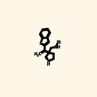 C=C(c1cc2ccccc2s1)C1(CNCC)CCNC1